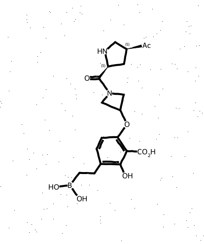 CC(=O)[C@@H]1CN[C@H](C(=O)N2CC(Oc3ccc(CCB(O)O)c(O)c3C(=O)O)C2)C1